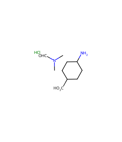 CN(C)C=O.Cl.NC1CCC(C(=O)O)CC1